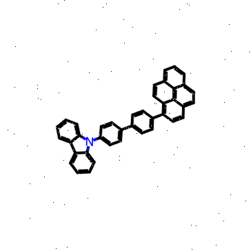 c1cc2ccc3ccc(-c4ccc(-c5ccc(-n6c7ccccc7c7ccccc76)cc5)cc4)c4ccc(c1)c2c34